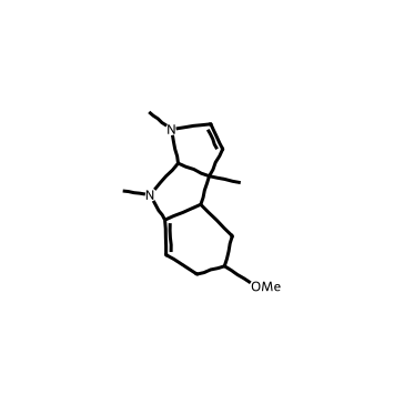 COC1CC=C2C(C1)C1(C)C=CN(C)C1N2C